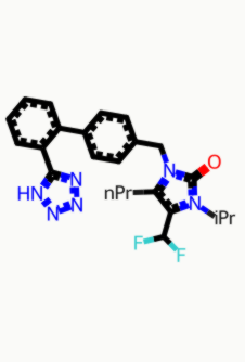 CCCc1c(C(F)F)n(C(C)C)c(=O)n1Cc1ccc(-c2ccccc2-c2nnn[nH]2)cc1